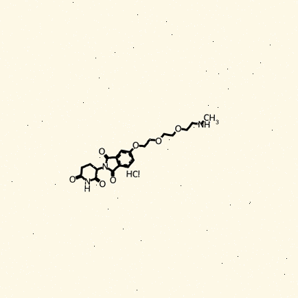 CNCCOCCOCCOc1ccc2c(c1)C(=O)N(C1CCC(=O)NC1=O)C2=O.Cl